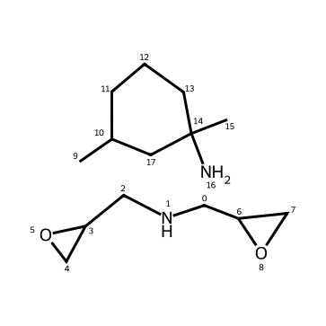 C(NCC1CO1)C1CO1.CC1CCCC(C)(N)C1